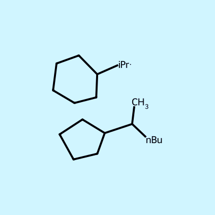 CCCCC(C)C1CCCC1.C[C](C)C1CCCCC1